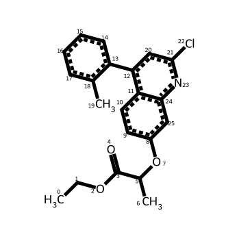 CCOC(=O)C(C)Oc1ccc2c(-c3ccccc3C)cc(Cl)nc2c1